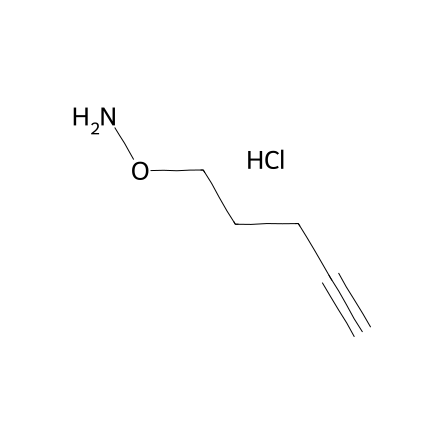 C#CCCCON.Cl